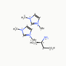 CCCC[n+]1ccn(C)c1.CCCC[n+]1ccn(C)c1.N[C@@H](CC(=O)O)C(=O)O